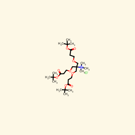 CC(C)(C)OC(=O)CCOCC(COCCC(=O)OC(C)(C)C)(COCCC(=O)OC(C)(C)C)[N+](C)(C)C.[Cl-]